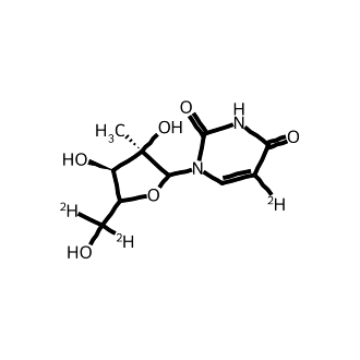 [2H]c1cn(C2OC(C([2H])([2H])O)[C@@H](O)[C@@]2(C)O)c(=O)[nH]c1=O